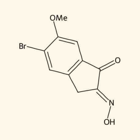 COc1cc2c(cc1Br)CC(=NO)C2=O